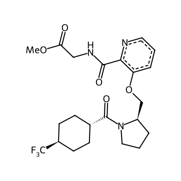 COC(=O)CNC(=O)c1ncccc1OC[C@H]1CCCN1C(=O)[C@H]1CC[C@H](C(F)(F)F)CC1